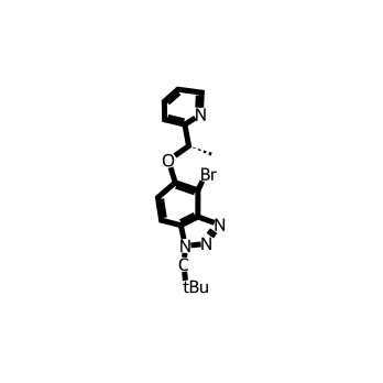 C[C@H](Oc1ccc2c(nnn2CC(C)(C)C)c1Br)c1ccccn1